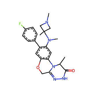 CC1C(=O)NN=C2COc3cc(-c4ccc(F)cc4)c(N(C)C4(C)CN(C)C4)cc3N21